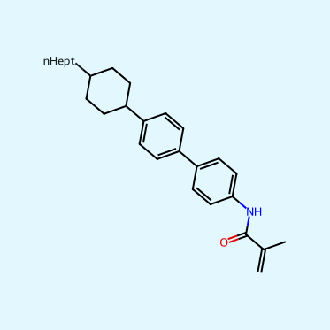 C=C(C)C(=O)Nc1ccc(-c2ccc(C3CCC(CCCCCCC)CC3)cc2)cc1